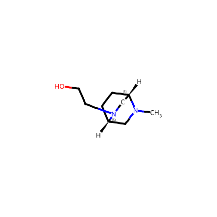 CN1C[C@@H]2CC[C@H]1CN2CCO